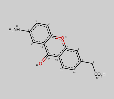 CC(=O)Nc1ccc2oc3cc(CC(=O)O)ccc3c(=O)c2c1